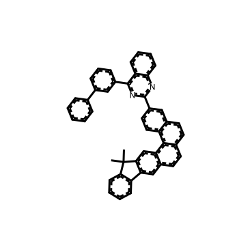 CC1(C)c2ccccc2-c2cc3ccc4ccc5cc(-c6nc(-c7cccc(-c8ccccc8)c7)c7ccccc7n6)ccc5c4c3cc21